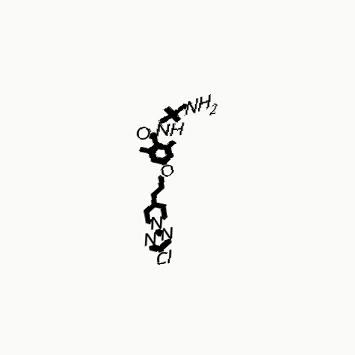 Cc1cc(OCCCC2CCN(c3ncc(Cl)cn3)CC2)cc(C)c1C(=O)NCC(C)(C)CN